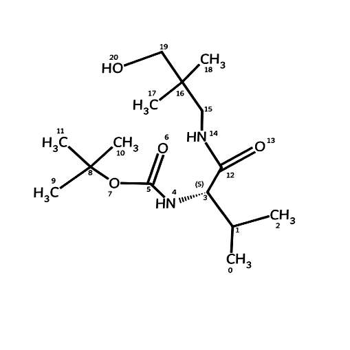 CC(C)[C@H](NC(=O)OC(C)(C)C)C(=O)NCC(C)(C)CO